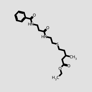 CCOC(=O)CC(C)CCSCCNC(=O)CCNC(=O)c1ccccc1